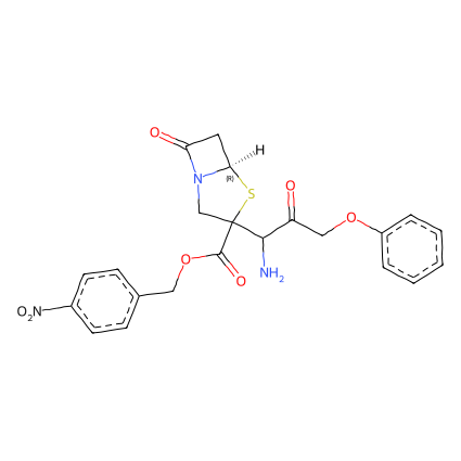 NC(C(=O)COc1ccccc1)C1(C(=O)OCc2ccc([N+](=O)[O-])cc2)CN2C(=O)C[C@H]2S1